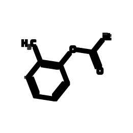 CCC(=O)Oc1ccc[c]c1C